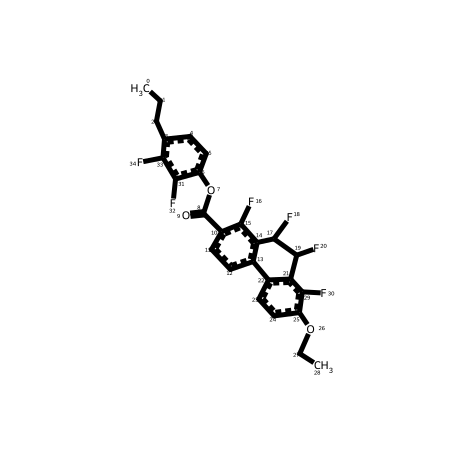 CCCc1ccc(OC(=O)c2ccc3c(c2F)C(F)C(F)c2c-3ccc(OCC)c2F)c(F)c1F